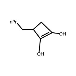 CCCCC1CC(O)=C1O